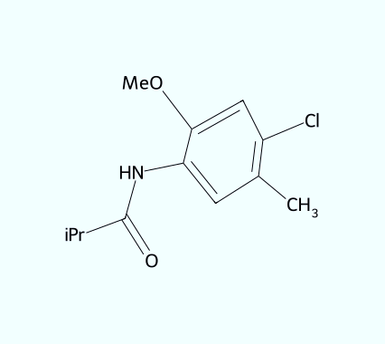 COc1cc(Cl)c(C)cc1NC(=O)C(C)C